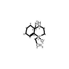 CC[N+]1([O-])CCN[C@H]2CCCC=C21